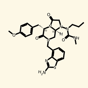 CCCN(C(=O)NC)N1CC(=O)N2[C@@H](Cc3ccc(OC)cc3)C(=O)N(Cc3cccc4sc(N)nc34)C[C@@H]21